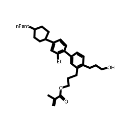 C=C(C)C(=O)OCCCc1cc(-c2ccc(C3CCC(CCCCC)CC3)cc2CC)ccc1CCCO